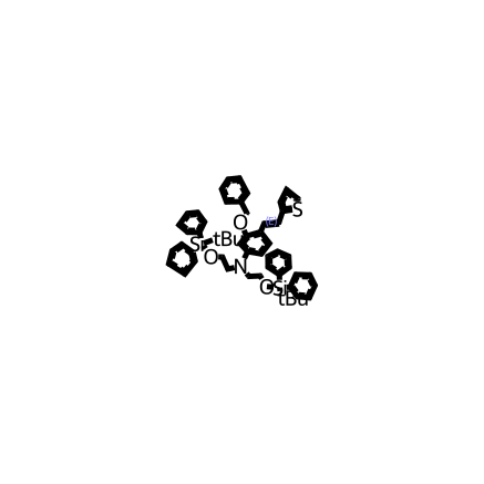 CC(C)(C)[Si](OCCN(CCO[Si](c1ccccc1)(c1ccccc1)C(C)(C)C)c1ccc(/C=C/c2cccs2)c(OCc2ccccc2)c1)(c1ccccc1)c1ccccc1